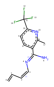 C=C/C=C\N=C(/N)c1ccc(C(F)(F)F)nc1C